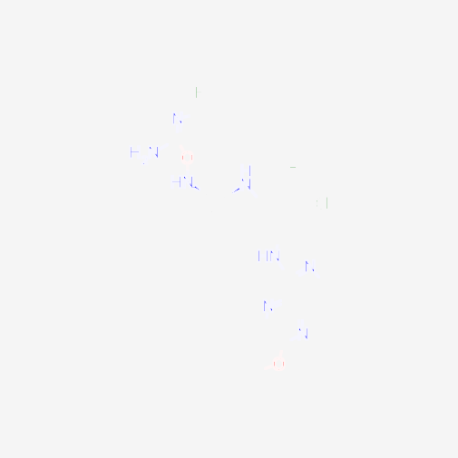 COc1cnc2c(Nc3cc(Cl)c(F)c(N[C@H]4C[C@H]4NO/C(N)=N\CF)c3)nccc2n1